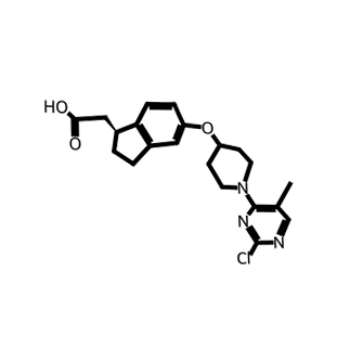 Cc1cnc(Cl)nc1N1CCC(Oc2ccc3c(c2)CC[C@H]3CC(=O)O)CC1